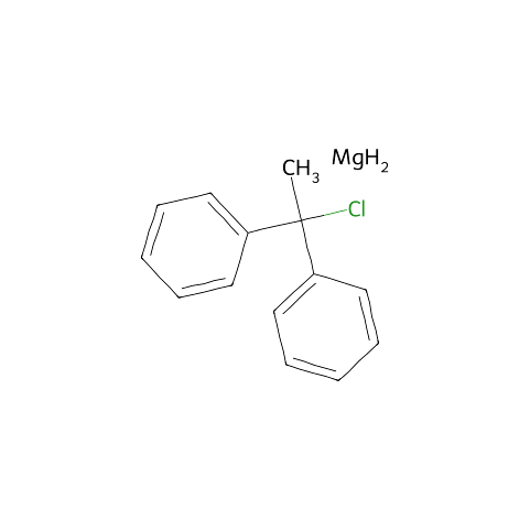 CC(Cl)(c1ccccc1)c1ccccc1.[MgH2]